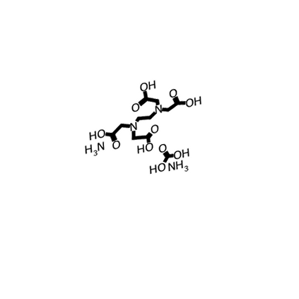 N.N.O=C(O)CN(CCN(CC(=O)O)CC(=O)O)CC(=O)O.O=C(O)O